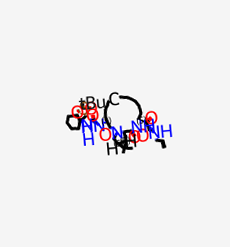 C=CCNC(=O)C(=O)[C@@H]1CCCCCCCCC[C@H](NC(=O)NC2(CS(=O)(=O)C(C)(C)C)CCCCC2)C(=O)N2C[C@H]3[C@@H](C2C(=O)N1)C3(C)C